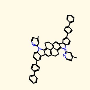 Cc1ccnc(-n2c3ccc(-c4ccc(-c5ccccc5)cc4)cc3c3cc4c5c(c32)CCc2cc3c6cc(-c7ccc(-c8ccccc8)cc7)ccc6n(-c6cc(C)ccn6)c3c(c2-5)CC4)c1